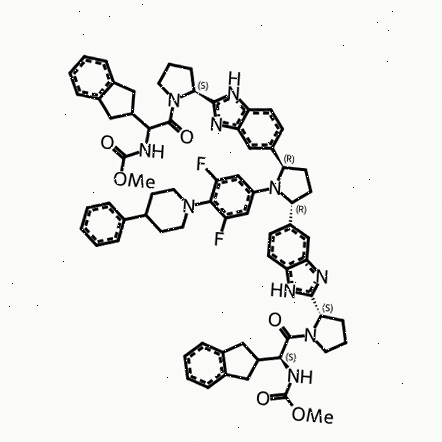 COC(=O)NC(C(=O)N1CCC[C@H]1c1nc2cc([C@H]3CC[C@H](c4ccc5[nH]c([C@@H]6CCCN6C(=O)[C@@H](NC(=O)OC)C6Cc7ccccc7C6)nc5c4)N3c3cc(F)c(N4CCC(c5ccccc5)CC4)c(F)c3)ccc2[nH]1)C1Cc2ccccc2C1